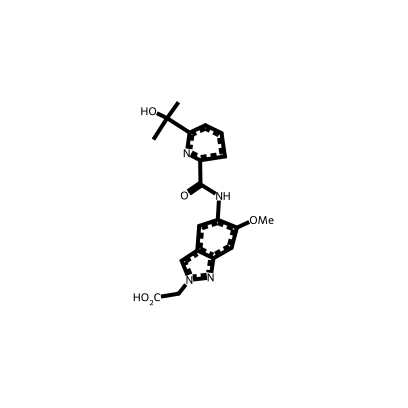 COc1cc2nn(CC(=O)O)cc2cc1NC(=O)c1cccc(C(C)(C)O)n1